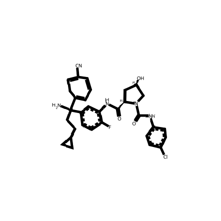 N#CC1=CCC(C(N)(CCC2CC2)c2ccc(F)c(NC(=O)[C@H]3C[C@@H](O)CN3C(=O)Nc3ccc(Cl)cc3)c2)=CC=C1